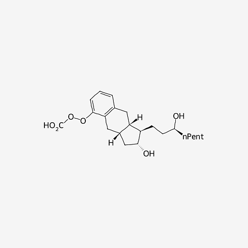 CCCCC[C@H](O)CC[C@@H]1[C@H]2Cc3cccc(OOC(=O)O)c3C[C@H]2C[C@H]1O